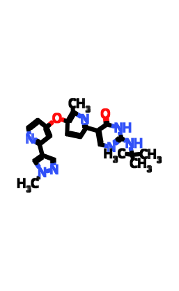 Cc1nc(-c2cnc(NC(C)(C)C)[nH]c2=O)ccc1Oc1ccnc(-c2cnn(C)c2)c1